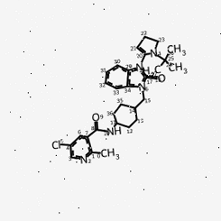 Cc1ncc(Cl)cc1C(=O)NC1CCC(Cn2c(=O)n(C3=CCCN3C(C)(C)C)c3ccccc32)CC1